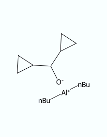 CCC[CH2][Al+][CH2]CCC.[O-]C(C1CC1)C1CC1